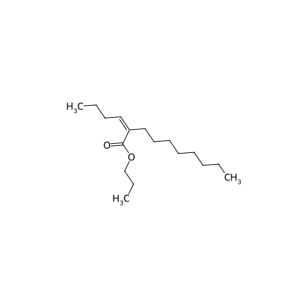 CCCC=C(CCCCCCCC)C(=O)OCCC